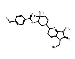 CCOc1ccc(C(=O)NC2CC(C3CC=c4c(n(C)c(=O)n4CC(C)(C)C)=N3)CCC2(C)C)cc1